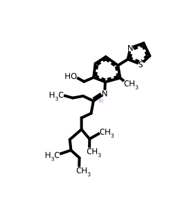 CCC/C(CCC(CC(C)CC)C(C)C)=N\c1c(CO)ccc(-c2nccs2)c1C